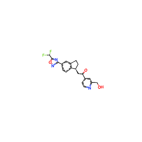 O=C(C[C@@H]1CCc2cc(-c3noc(C(F)F)n3)ccc21)c1ccnc(CO)c1